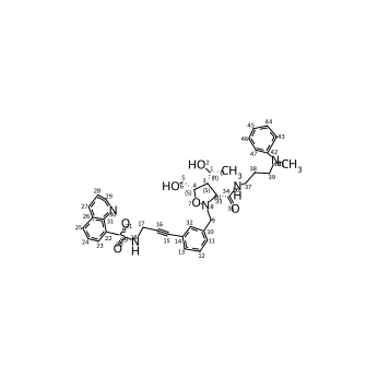 C[C@@H](O)[C@H]1[C@@H](CO)ON(Cc2cccc(C#CCNS(=O)(=O)c3cccc4cccnc34)c2)[C@H]1C(=O)NCCCN(C)c1ccccc1